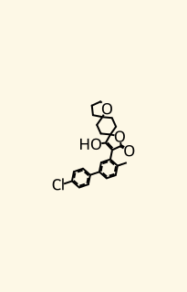 Cc1ccc(-c2ccc(Cl)cc2)cc1C1=C(O)C2(CCC3(CCCO3)CC2)OC1=O